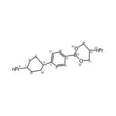 CCCC1CCC(c2ccc(B3OCC(CCC)CO3)cc2)CC1